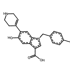 O=C(O)c1cn(Cc2ccc(F)cc2)c2cc(C3=CCNCC3)c(O)cc12